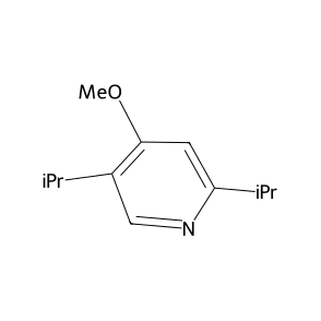 COc1cc(C(C)C)ncc1C(C)C